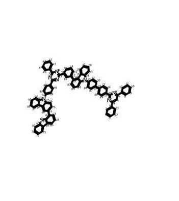 c1ccc(-c2cc(-c3ccccc3)nc(-c3ccc(-c4ccc(-n5c6ccccc6c6c(-c7cccc(-c8nc(-c9ccccc9)nc(-c9ccc(-n%10c%11ccccc%11c%11cc(-c%12cccc%13c%12sc%12ccccc%12%13)ccc%11%10)cc9)n8)c7)cccc65)cc4)cc3)n2)cc1